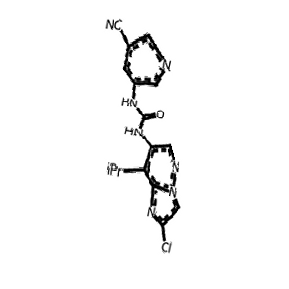 CC(C)c1c(NC(=O)Nc2cncc(C#N)c2)cnn2cc(Cl)nc12